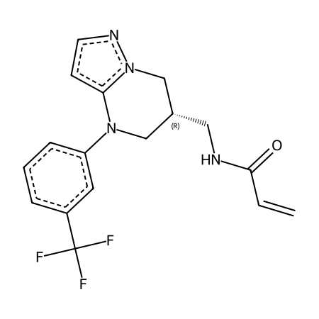 C=CC(=O)NC[C@@H]1CN(c2cccc(C(F)(F)F)c2)c2ccnn2C1